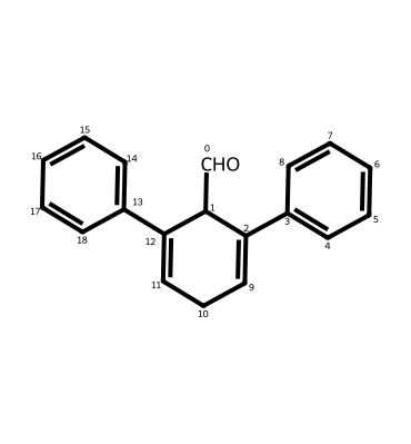 O=CC1C(c2ccccc2)=CCC=C1c1ccccc1